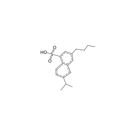 CCCCc1cc(S(=O)(=O)O)c2ccc(C(C)C)cc2c1